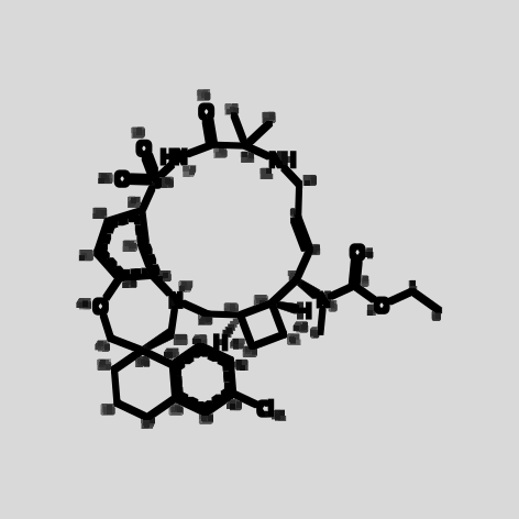 CCOC(=O)N(C)[C@@H]1/C=C/CNC(C)(C)C(=O)NS(=O)(=O)c2ccc3c(c2)N(C[C@@H]2CC[C@H]21)C[C@@]1(CCCc2cc(Cl)ccc21)CO3